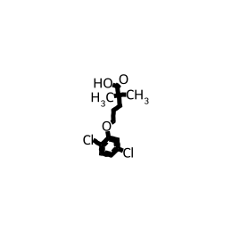 CC(C)(CCCOc1cc(Cl)ccc1Cl)C(=O)O